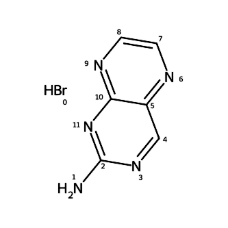 Br.Nc1ncc2nccnc2n1